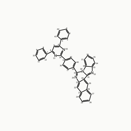 c1ccc(-c2cc(-c3ccccc3)nc(-c3ccc(-c4nc5cc6ccccc6cc5c5nc6ccccc6n45)cc3)n2)cc1